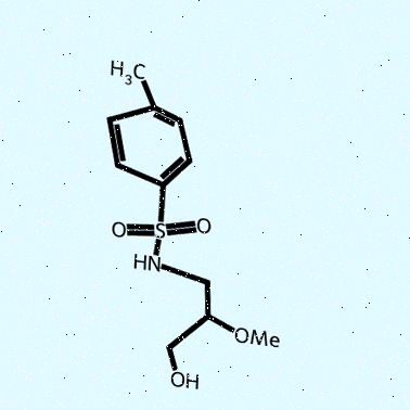 COC(CO)CNS(=O)(=O)c1ccc(C)cc1